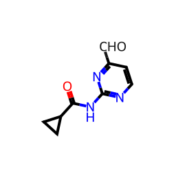 O=Cc1ccnc(NC(=O)C2CC2)n1